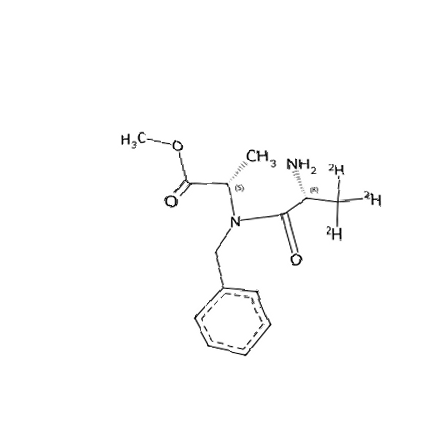 [2H]C([2H])([2H])[C@@H](N)C(=O)N(Cc1ccccc1)[C@@H](C)C(=O)OC